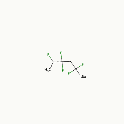 CC(F)C(F)(F)CC(F)(F)C(C)(C)C